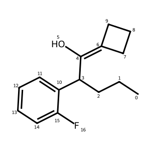 CCCC(C(O)=C1CCC1)c1ccccc1F